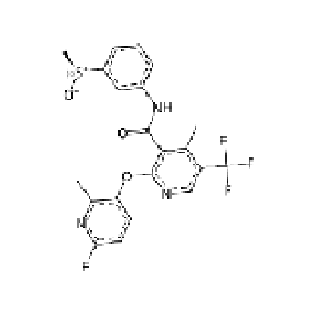 Cc1nc(F)ccc1Oc1ncc(C(F)(F)F)c(C)c1C(=O)Nc1cccc([S@+](C)[O-])c1